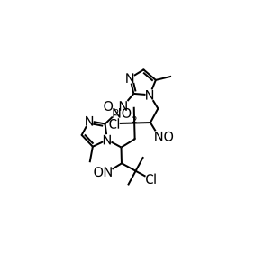 Cc1cnc([N+](=O)[O-])n1CC(N=O)C(C)(Cl)CC(C(N=O)C(C)(C)Cl)n1c(C)cnc1[N+](=O)[O-]